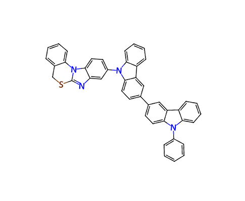 c1ccc(-n2c3ccccc3c3cc(-c4ccc5c(c4)c4ccccc4n5-c4ccc5c(c4)nc4n5-c5ccccc5CS4)ccc32)cc1